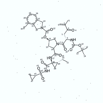 C=C(C)C(=O)C[C@H](NC(=O)OC(C)(C)C)C(=O)N1C[C@H](OC(=O)N2Cc3cccc(F)c3C2)CC1C(=O)N[C@]1(C(=O)NS(=O)(=O)C2CC2)C[C@H]1CC